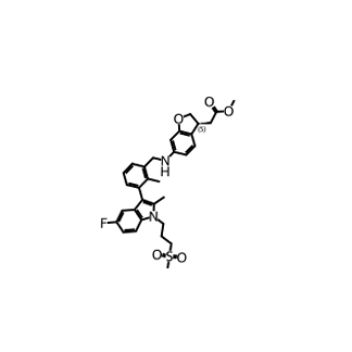 COC(=O)C[C@@H]1COc2cc(NCc3cccc(-c4c(C)n(CCCS(C)(=O)=O)c5ccc(F)cc45)c3C)ccc21